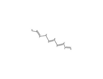 C=CC=CC=CCC=CC